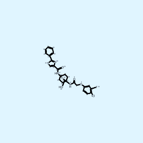 O=C(COc1ccc(Cl)c(F)c1)NC12CCC(NC(=O)c3csc(-c4ccccc4)n3)(CC1)CC2O